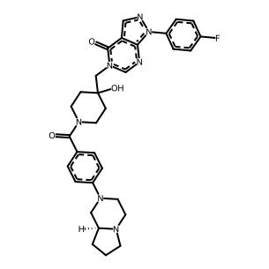 O=C(c1ccc(N2CCN3CCC[C@H]3C2)cc1)N1CCC(O)(Cn2cnc3c(cnn3-c3ccc(F)cc3)c2=O)CC1